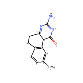 COc1ccc2c(c1)C1C(=O)N=C(N)N=C1CC2